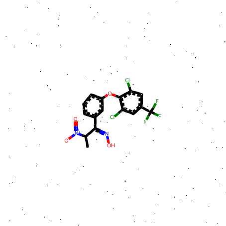 CC(C(=NO)c1cccc(Oc2c(Cl)cc(C(F)(F)F)cc2Cl)c1)[N+](=O)[O-]